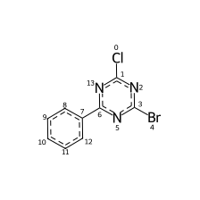 Clc1nc(Br)nc(-c2ccccc2)n1